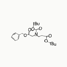 CC(C)(C)OC(=O)CCN(CC(=O)OCc1ccccc1)C(=O)OC(C)(C)C